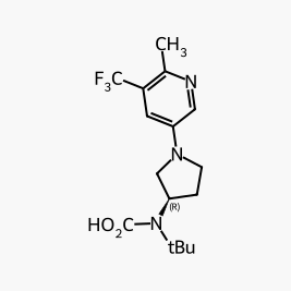 Cc1ncc(N2CC[C@@H](N(C(=O)O)C(C)(C)C)C2)cc1C(F)(F)F